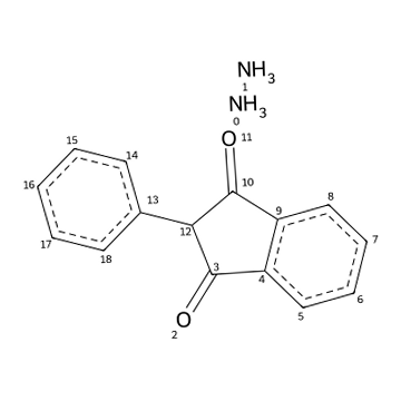 N.N.O=C1c2ccccc2C(=O)C1c1ccccc1